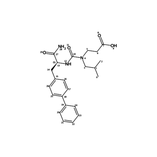 CC(C)CN(CCC(=O)O)C(=O)N[C@@H](Cc1ccc(-c2ccccc2)cc1)C(N)=O